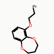 CC(C)CCOc1cccc2c1OCCCO2